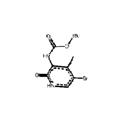 Cc1c(Br)c[nH]c(=O)c1NC(=O)OC(C)(C)C